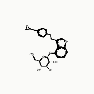 OC[C@H]1O[C@@H](Oc2cccc3[nH]cc(CCc4ccc(C5CO5)cc4)c23)[C@H](O)[C@@H](O)[C@@H]1O